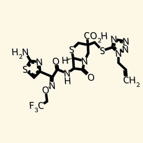 C=CCn1nnnc1SCC1(C(=O)O)CS[C@@H]2C(NC(=O)C(=NOCC(F)(F)F)c3csc(N)n3)C(=O)N2C1